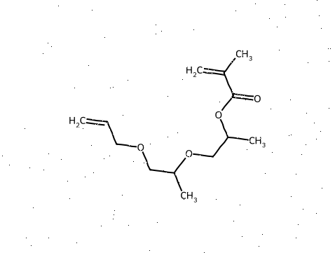 C=CCOCC(C)OCC(C)OC(=O)C(=C)C